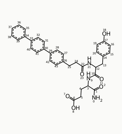 NC(=O)C(CCC(=O)O)NC(=O)C(Cc1ccc(O)cc1)NC(=O)CCc1ccc(-c2ccc(-c3ccccc3)cc2)cc1